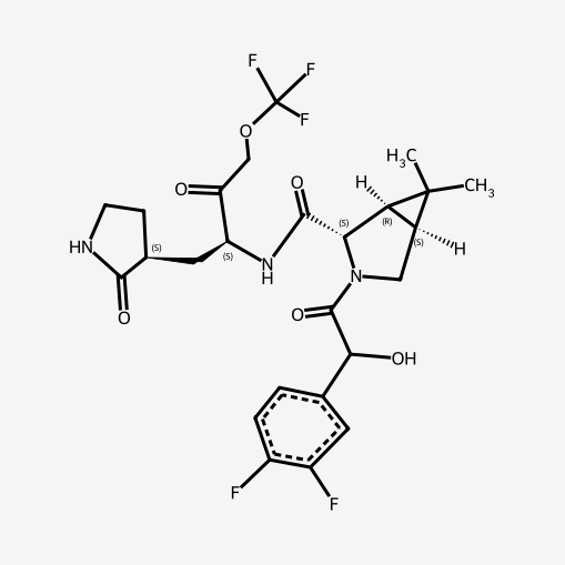 CC1(C)[C@@H]2[C@@H](C(=O)N[C@@H](C[C@@H]3CCNC3=O)C(=O)COC(F)(F)F)N(C(=O)C(O)c3ccc(F)c(F)c3)C[C@@H]21